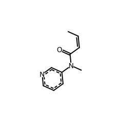 C/C=C\C(=O)N(C)c1cccnc1